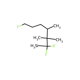 CC(CCCF)C(C)(C)C(F)(F)[SiH3]